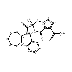 COC(=O)c1ncn2c1C(=O)N(Cc1ccccc1Cl)C(C)(C(=O)NC1CCCCCC1)C2